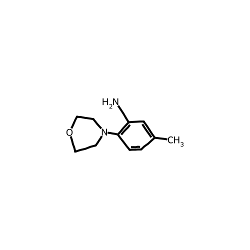 Cc1ccc(N2CCOCC2)c(N)c1